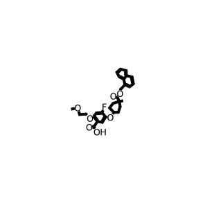 COCCOc1cc(F)c(OC2CCC(C)(C(=O)OCc3cccc4ccccc34)CC2)cc1C(=O)O